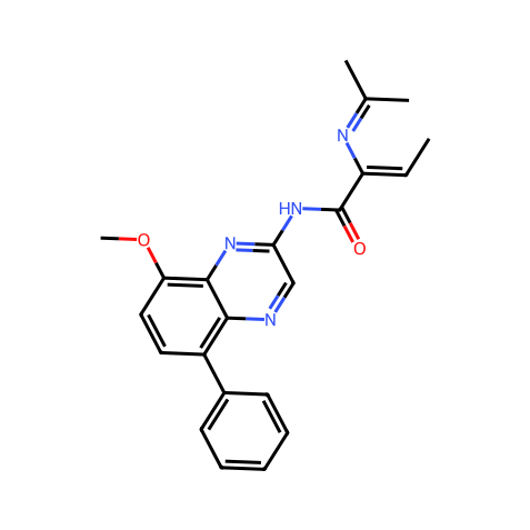 C/C=C(\N=C(C)C)C(=O)Nc1cnc2c(-c3ccccc3)ccc(OC)c2n1